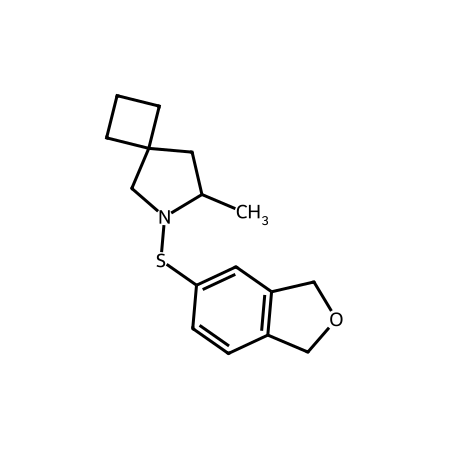 CC1CC2(CCC2)CN1Sc1ccc2c(c1)COC2